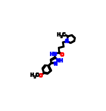 COc1ccc(-c2cc(NC(=O)CCCN3CCCCC3C)[nH]n2)cc1